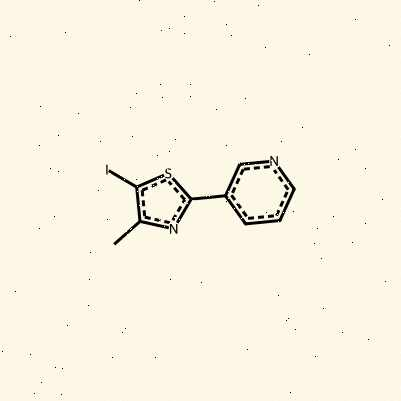 Cc1nc(-c2cccnc2)sc1I